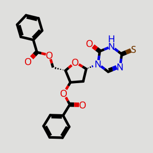 O=C(OC[C@@H]1O[C@H](n2cnc(=S)[nH]c2=O)CC1OC(=O)c1ccccc1)c1ccccc1